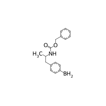 Bc1ccc(CC(C)NC(=O)OCc2ccccc2)cc1